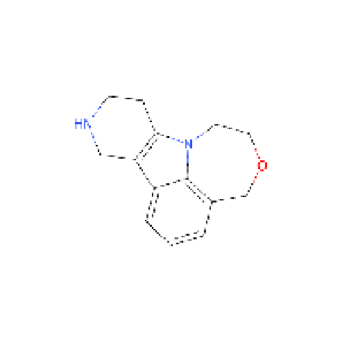 c1cc2c3c(c1)c1c(n3CCOC2)CCNC1